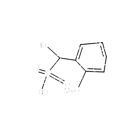 CCC(c1ccccc1OC)S(N)(=O)=O